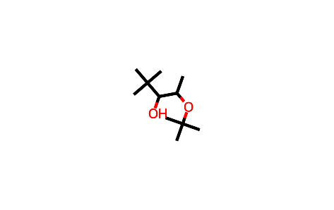 CC(OC(C)(C)C)C(O)C(C)(C)C